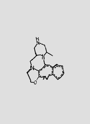 CC1CNCC2CN3CCOc4nc5ccccc5c(c43)N12